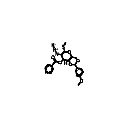 COc1ccc(C2OCC3O[C@@H](SC)C(N=[N+]=[N-])C(OC(=O)c4ccccc4)[C@@H]3O2)cc1